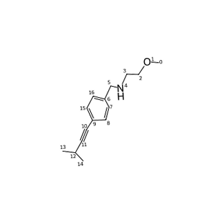 COCCNCc1ccc(C#CC(C)C)cc1